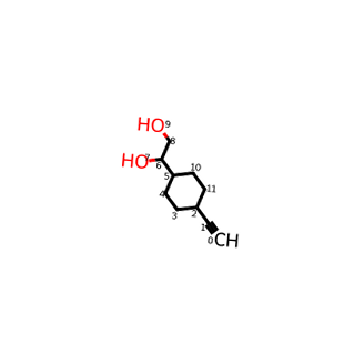 C#CC1CCC(C(O)CO)CC1